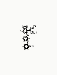 CCON=C(C(=O)O)c1c(Oc2cccc(Oc3ccccc3C#N)c2)nc(C)nc1SC